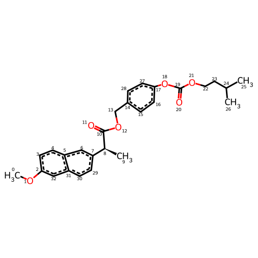 COc1ccc2cc([C@H](C)C(=O)OCc3ccc(OC(=O)OCCC(C)C)cc3)ccc2c1